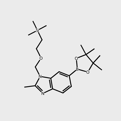 Cc1nc2ccc(B3OC(C)(C)C(C)(C)O3)cc2n1COCC[Si](C)(C)C